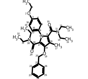 CCOc1ccc(-n2c(C(=O)N(CC)CC)c(C)c(OCc3ccccc3)c2C(=O)N(CC)CC)cc1